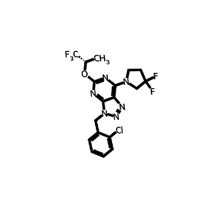 C[C@H](Oc1nc(N2CCC(F)(F)C2)c2nnn(Cc3ccccc3Cl)c2n1)C(F)(F)F